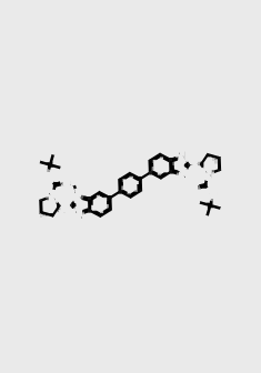 C[C@H]1C[C@@H](c2nc3ccc(-c4ccc(-c5ccc6nc([C@@H]7C[C@H](C)CN7C(=O)OC(C)(C)C)n(C)c6c5)cc4)cc3[nH]2)N(C(=O)OC(C)(C)C)C1